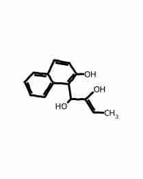 CC=C(O)C(O)c1c(O)ccc2ccccc12